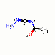 CC(=O)N=C=NN